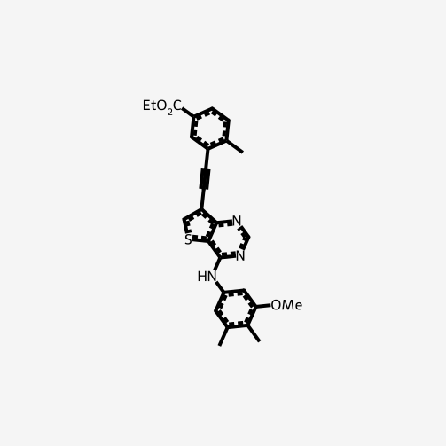 CCOC(=O)c1ccc(C)c(C#Cc2csc3c(Nc4cc(C)c(C)c(OC)c4)ncnc23)c1